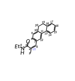 CCNC(=O)/C(C)=C\c1ccc2c(c1)-c1ccccc1CC2